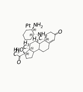 CC(=O)[C@@]1(O)CCC2C3CCC4=CC(=O)CC[C@]4(C)C3CC[C@@]21C.N[C@@H]1CCCC[C@H]1N.[Pt]